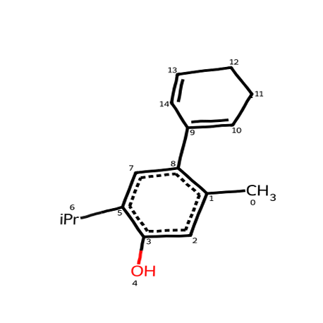 Cc1cc(O)c(C(C)C)cc1C1=C[CH]CC=C1